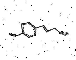 CSc1ccc(C=CCC(=O)O)cc1